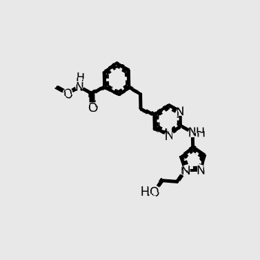 CONC(=O)c1cccc(CCc2cnc(Nc3cnn(CCO)c3)nc2)c1